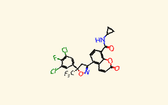 O=C(NC1CC1)c1ccc(C2=NO[C@@](c3cc(Cl)c(F)c(Cl)c3)(C(F)(F)F)C2)c2ccc(=O)oc12